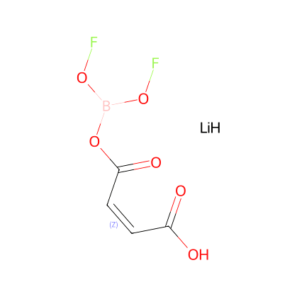 O=C(O)/C=C\C(=O)OB(OF)OF.[LiH]